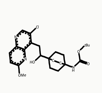 COc1ccc2ncc(Cl)c(CC(O)C34CCC(NC(=O)OC(C)(C)C)(CC3)CC4)c2n1